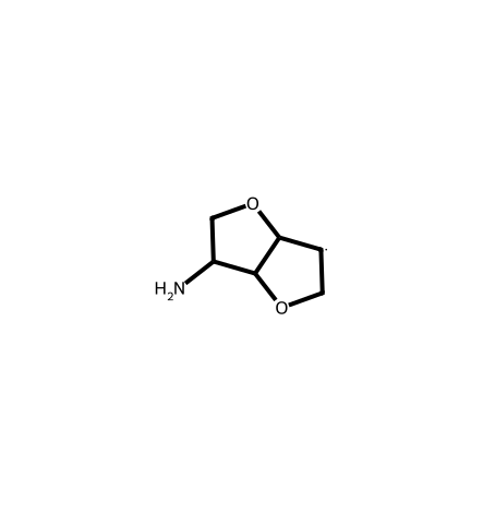 NC1COC2[CH]COC12